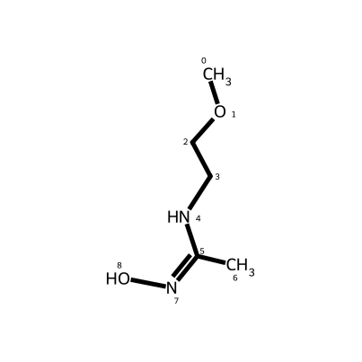 COCCN/C(C)=N\O